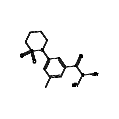 CCCN(CCC)C(=O)c1cc(C)cc(N2CCCCS2(=O)=O)c1